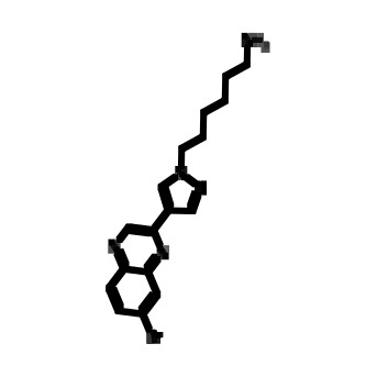 NCCCCCCn1cc(-c2cnc3ccc(Br)cc3n2)cn1